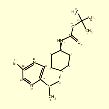 CN(C[C@H]1CC[C@H](NC(=O)OC(C)(C)C)CC1)c1cnc(Br)cn1